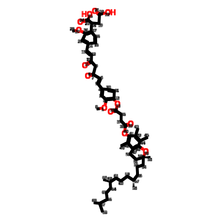 COc1cc(C=CC(=O)CC(=O)C=Cc2ccc(C(CC(=O)O)C(=O)O)c(OC)c2)ccc1OC(=O)CCC(=O)Oc1c(C)c(C)c2c(c1C)CC[C@@](C)(CCC[C@H](C)CCC[C@H](C)CCCC(C)C)O2